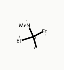 [CH2]CC(C)(CC)NC